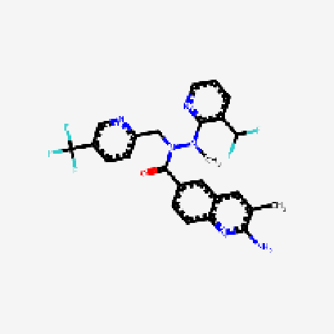 Cc1cc2cc(C(=O)N(Cc3ccc(C(F)(F)F)cn3)N(C)c3ncccc3C(F)F)ccc2nc1N